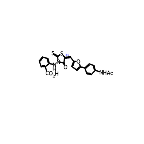 CC(=O)Nc1ccc(-c2ccc(/C=C3/SC(=S)N(Nc4ccccc4C(=O)O)C3=O)o2)cc1